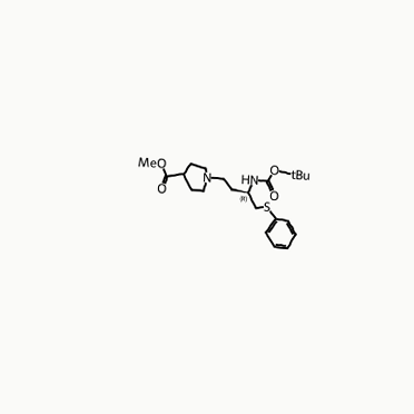 COC(=O)C1CCN(CC[C@H](CSc2ccccc2)NC(=O)OC(C)(C)C)CC1